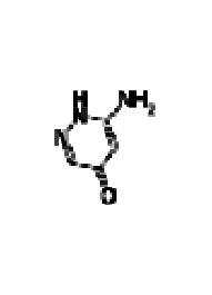 Nc1cc(=O)cn[nH]1